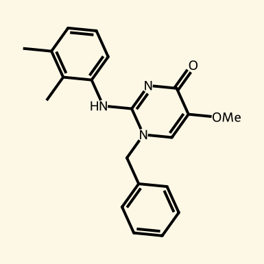 COc1cn(Cc2ccccc2)c(Nc2cccc(C)c2C)nc1=O